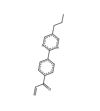 C=CC(=O)c1ccc(-c2ncc(CCC)cn2)cc1